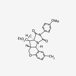 CCOC(=O)[C@@H]1[C@H]2COc3ccc(C)cc3[C@@H]2N2C(=O)N(c3ccc(OC)cc3)C(=O)[C@]12C